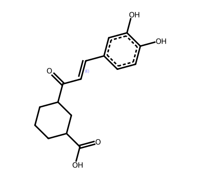 O=C(O)C1CCCC(C(=O)/C=C/c2ccc(O)c(O)c2)C1